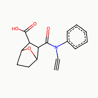 C#CN(C(=O)C1C2CCC(O2)C1C(=O)O)c1ccccc1